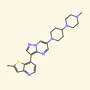 Cc1cc2nccc(-c3cnn4cc(N5CCC(N6CCN(C)CC6)CC5)cnc34)c2s1